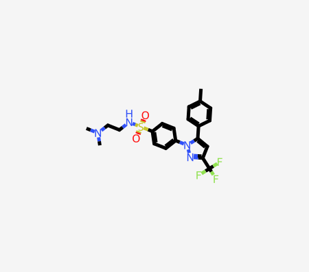 Cc1ccc(-c2cc(C(F)(F)F)nn2-c2ccc(S(=O)(=O)NCCN(C)C)cc2)cc1